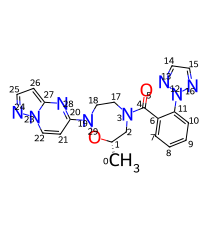 C[C@H]1CN(C(=O)c2ccccc2-n2nccn2)CCN(c2ccn3nccc3n2)O1